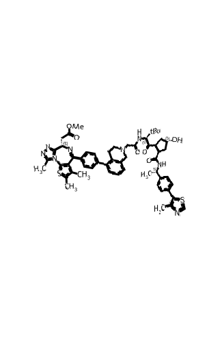 COC(=O)C[C@@H]1N=C(c2ccc(-c3cccc4c3CCN(CC(=O)N[C@H](C(=O)C3C[C@H](O)CC3C(=O)N[C@@H](C)c3ccc(-c5scnc5C)cc3)C(C)(C)C)C4)cc2)c2c(sc(C)c2C)-n2c(C)nnc21